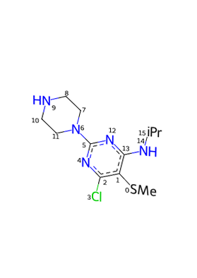 CSc1c(Cl)nc(N2CCNCC2)nc1NC(C)C